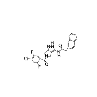 O=C(Cc1ccc2ccccc2c1)Nc1[nH]nc2c1CN(C(=O)c1cc(F)c(Cl)cc1F)C2